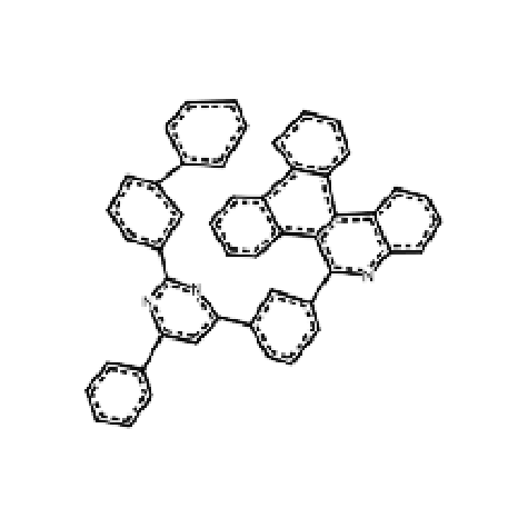 c1ccc(-c2cccc(-c3nc(-c4ccccc4)cc(-c4cccc(-c5nc6ccccc6c6c7ccccc7c7ccccc7c56)c4)n3)c2)cc1